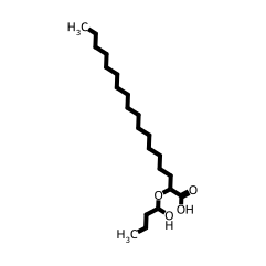 CCCCCCCCCCCCCCCCC(OC(O)CCC)C(=O)O